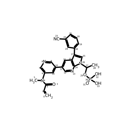 C=CC(=O)N(C)c1cncc(-c2cnc3c(c2)c(-c2cccc(C#N)c2)cn3C(C)OP(=O)(O)O)c1